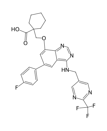 O=C(O)C1(COc2cc(-c3ccc(F)cc3)cc3c(NCc4cnc(C(F)(F)F)nc4)ncnc23)CCCCC1